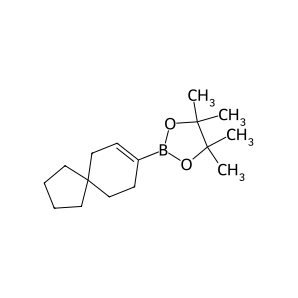 CC1(C)OB(C2=CCC3(CCCC3)CC2)OC1(C)C